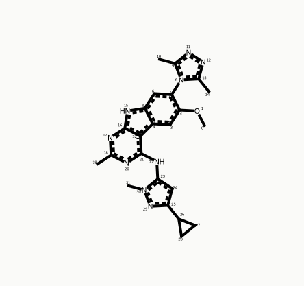 COc1cc2c(cc1-n1c(C)nnc1C)[nH]c1nc(C)nc(Nc3cc(C4CC4)nn3C)c12